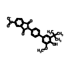 COc1cc(-c2ccc(N3C(=O)c4ccc([N+](=O)[O-])cc4C3=O)cc2)cc(C(C)(C)C)c1O